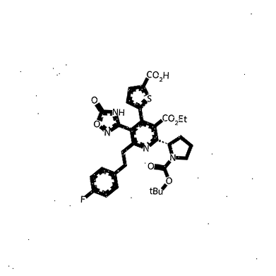 CCOC(=O)c1c([C@@H]2CCCN2C(=O)OC(C)(C)C)nc(CCc2ccc(F)cc2)c(-c2noc(=O)[nH]2)c1-c1ccc(C(=O)O)s1